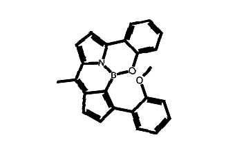 COc1ccccc1C1=C2B3Oc4ccccc4-c4ccc(n43)C(C)=C2C=C1